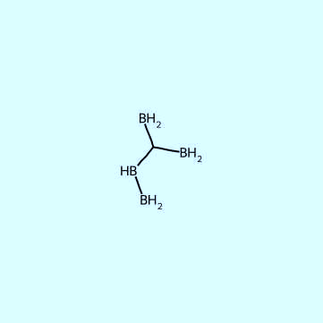 BBC(B)B